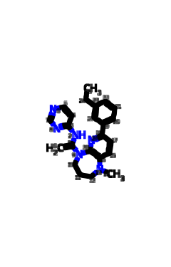 C=C(Nc1ccncn1)N1CCCN(C)c2ccc(-c3cccc(CC)c3)nc21